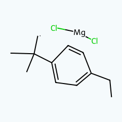 [CH2]C(C)(C)c1ccc(CC)cc1.[Cl][Mg][Cl]